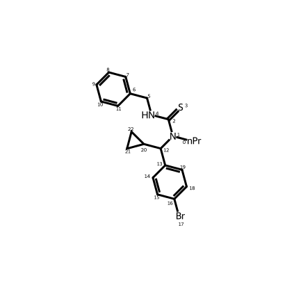 CCCN(C(=S)NCc1ccccc1)C(c1ccc(Br)cc1)C1CC1